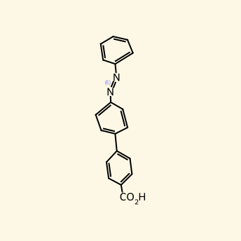 O=C(O)c1ccc(-c2ccc(/N=N/c3ccccc3)cc2)cc1